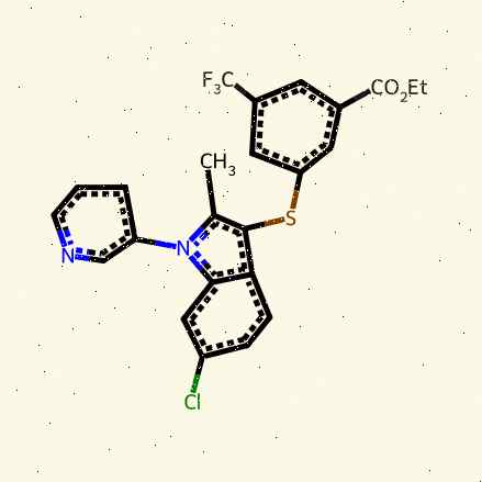 CCOC(=O)c1cc(Sc2c(C)n(-c3cccnc3)c3cc(Cl)ccc23)cc(C(F)(F)F)c1